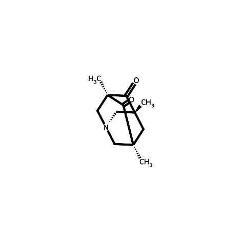 C[C@]12C[N@@]3C[C@](C)(C1)C(=O)[C@@](C)(C3)C2=O